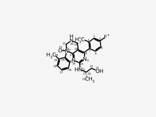 Cc1cc(F)ccc1-c1nc(N[C@@H](C)CO)nc2c1CNC[N+]2([O-])c1ccccc1C